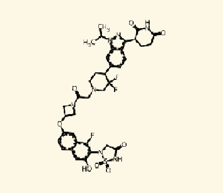 CC(C)n1nc(C2CCC(=O)NC2=O)c2ccc(C3CCN(CC(=O)N4CC(Oc5ccc6cc(O)c(N7CC(=O)NS7(=O)=O)c(F)c6c5)C4)CC3(F)F)cc21